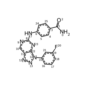 NC(=O)c1ccc(Nc2ncc3nnn(-c4cccc(F)c4)c3n2)cc1